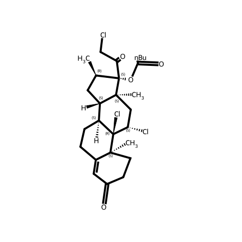 CCCCC(=O)O[C@@]1(C(=O)CCl)[C@H](C)C[C@H]2[C@@H]3CCC4=CC(=O)CC[C@]4(C)[C@@]3(Cl)[C@@H](Cl)C[C@@]21C